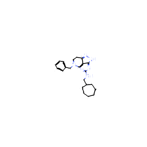 c1ccc(CN2CCc3n[nH]c4nc(NCC5CCCCCC5)nc2c34)cc1